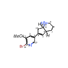 COc1cc(C2=C[C@H]3CCCN[C@H]3C2)cnc1Br